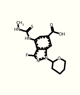 CNC(=S)Nc1cc(C(=O)O)cc2c1c(F)nn2C1CCCCO1